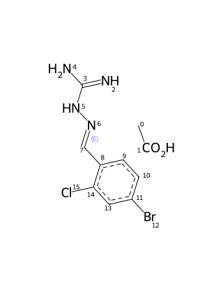 CC(=O)O.N=C(N)N/N=C/c1ccc(Br)cc1Cl